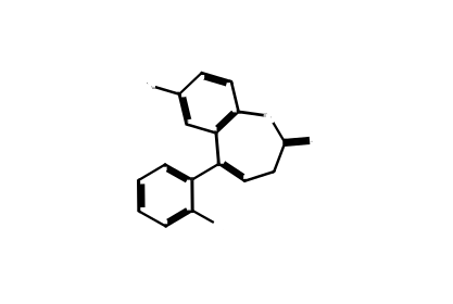 Nc1ccc2c(c1)C(c1ccccc1Cl)=CCC(=O)N2